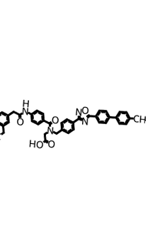 CCc1cccc(CC(=O)Nc2ccc(C(=O)N(CC(=O)O)Cc3ccc(-c4noc(-c5ccc(-c6ccc(C)cc6)cc5)n4)cc3)cc2)c1